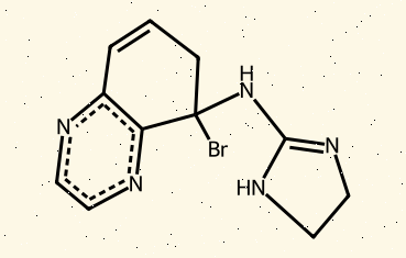 BrC1(NC2=NCCN2)CC=Cc2nccnc21